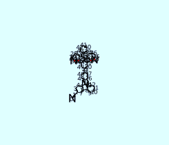 N#Cc1ccc2c(c1)c1ccccc1n2-c1ccc(-c2cc(C#N)c([Si](c3ccccc3)(c3ccccc3)c3ccccc3)c(C#N)c2)cc1